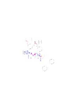 C=C(CN(CCC(c1ccccc1)c1ccccc1)C(=O)Nc1cccc(OC)c1)CN(C(=O)Nc1cccc(OC)c1)[C@@H]1CCCC[C@H]1N